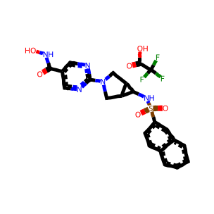 O=C(NO)c1cnc(N2CC3C(C2)C3NS(=O)(=O)c2ccc3ccccc3c2)nc1.O=C(O)C(F)(F)F